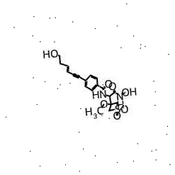 COC1(C(NC(=O)c2ccc(C#C/C=C/CCO)cc2)C(=O)NO)CS(=O)(=O)C1